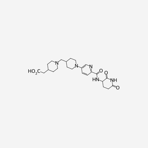 O=C(O)CC1CCN(CC2CCN(c3ccc(C(=O)NC4CCC(=O)NC4=O)nc3)CC2)CC1